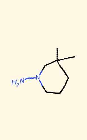 CC1(C)CCCN(N)C1